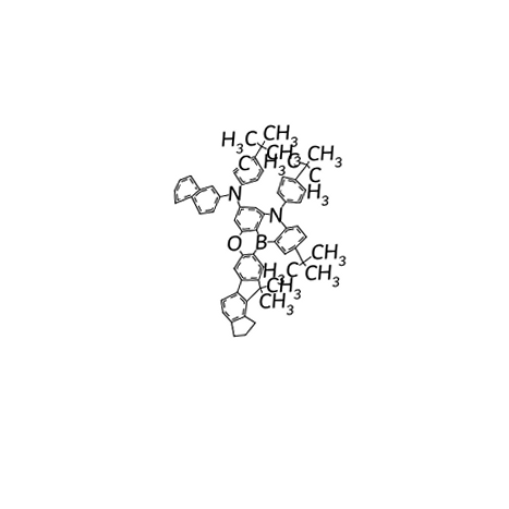 CC(C)(C)c1ccc(N(c2cc3c4c(c2)N(c2ccc(C(C)(C)C)cc2)c2ccc(C(C)(C)C)cc2B4c2cc4c(cc2O3)-c2ccc3c(c2C4(C)C)CCC3)c2ccc3ccccc3c2)cc1